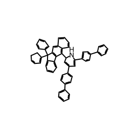 C1=CCCC(C2(c3ccccc3)c3ccccc3-c3c2cc2ccccc2c3C2C=C(c3ccc(-c4ccccc4)cc3)C=C(c3ccc(-c4ccccc4)cc3)N2)=C1